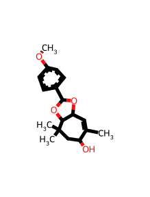 COc1ccc(C2OC3C=C(C)C(O)CC(C)(C)C3O2)cc1